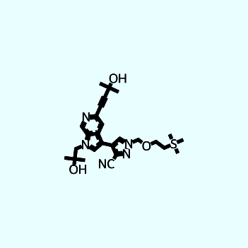 CC(C)(O)C#Cc1cc2c(-c3cn(COCCS(C)(C)C)nc3C#N)cn(CC(C)(C)O)c2cn1